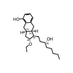 CCCCC[C@@H](O)CC[C@@H]1[C@H]2Cc3cccc(O)c3C[C@H]2C[C@H]1OCC